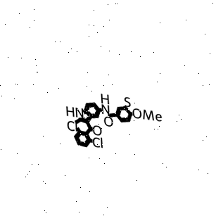 COC1C=CC(C(=O)Nc2ccc3[nH]c(C)c(C(=O)c4c(Cl)cccc4Cl)c3c2)=CC1=S